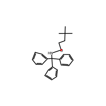 CC(C)(C)CCC(=O)NC(c1ccccc1)(c1ccccc1)c1ccccc1